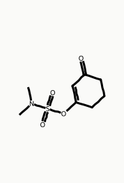 CN(C)S(=O)(=O)OC1=CC(=O)CCC1